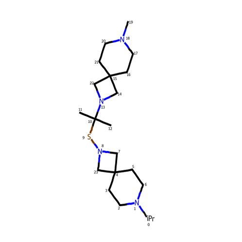 CC(C)N1CCC2(CC1)CN(SC(C)(C)N1CC3(CCN(C)CC3)C1)C2